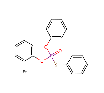 CCc1ccccc1OP(=O)(Oc1ccccc1)Sc1ccccc1